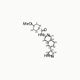 CO[C@H]1CC[C@H](C(=O)Nc2cc3cc(-c4cn[nH]c4)ccc3cn2)CC1